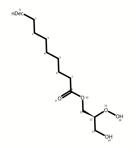 CCCCCCCCCCCCCCCCCC(=O)OC[C@H](CO)OO